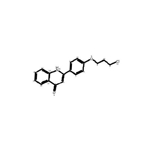 O=c1cc(-c2ccc(OCCCCl)cc2)[nH]c2ccccc12